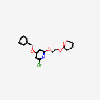 Brc1cc(OCc2ccccc2)cc(OCCOC2CCCCO2)n1